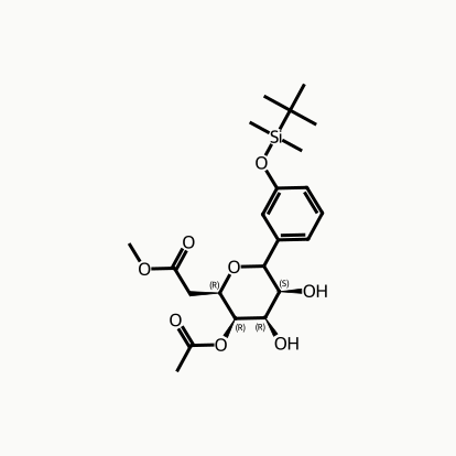 COC(=O)C[C@H]1OC(c2cccc(O[Si](C)(C)C(C)(C)C)c2)[C@@H](O)[C@@H](O)[C@H]1OC(C)=O